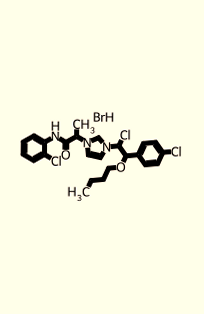 Br.CCCCOC(c1ccc(Cl)cc1)C(Cl)N1C=CN(C(C)C(=O)Nc2ccccc2Cl)C1